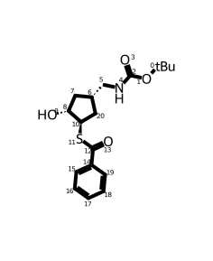 CC(C)(C)OC(=O)NC[C@H]1C[C@@H](O)[C@H](SC(=O)c2ccccc2)C1